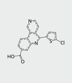 O=C(O)c1ccc2c(c1)nc(-c1ccc(Cl)s1)c1ccncc12